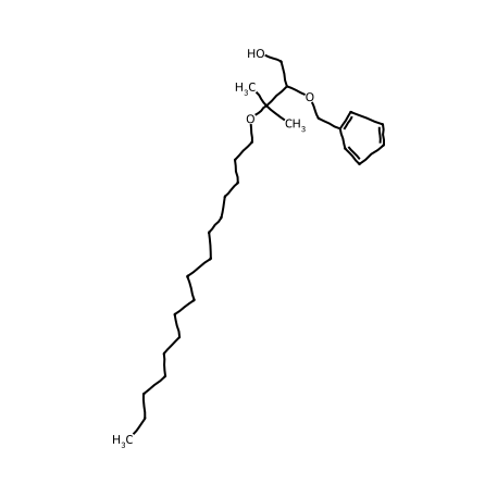 CCCCCCCCCCCCCCCCOC(C)(C)C(CO)OCc1ccccc1